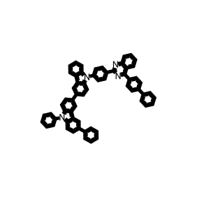 c1ccc(-c2ccc(-c3nc(-c4ccc(-n5c6ccccc6c6cc(-c7ccc8c(c7)c7cc(-c9ccccc9)ccc7n8-c7ccccc7)ccc65)cc4)nc4ccccc34)cc2)cc1